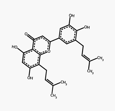 CC(C)=CCc1cc(-c2cc(=O)c3c(O)cc(O)c(CC=C(C)C)c3o2)cc(O)c1O